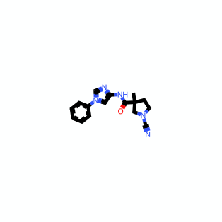 CC1(C(=O)Nc2cn(-c3ccccc3)cn2)CCN(C#N)C1